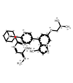 C=C(CN1C2CC1CN(c1ccc(-c3cc(OC[C@H](C)O)cn4ncc(C#N)c34)cn1)C2)/N=C\C(=N/C)OC